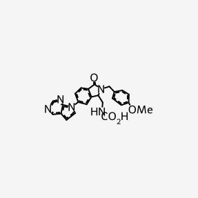 COc1ccc(CN2C(=O)c3ccc(-n4ccc5cncnc54)cc3C2CNC(=O)O)cc1